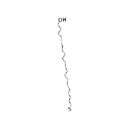 OCCCCCCCCCCCCCCCCCCCC[S]